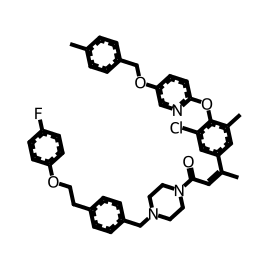 CC(=CC(=O)N1CCN(Cc2ccc(CCOc3ccc(F)cc3)cc2)CC1)c1cc(C)c(Oc2ccc(OCc3ccc(C)cc3)cn2)c(Cl)c1